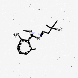 CCCC(C)(C)C/C=N/C(=N/C)c1c(C)cccc1N